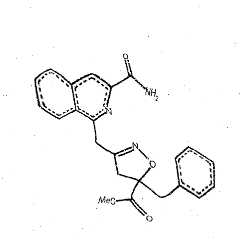 COC(=O)C1(Cc2ccccc2)CC(Cc2nc(C(N)=O)cc3ccccc23)=NO1